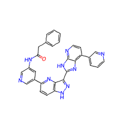 O=C(Cc1ccccc1)Nc1cncc(-c2ccc3[nH]nc(-c4nc5c(-c6cccnc6)ccnc5[nH]4)c3n2)c1